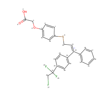 O=C(O)COc1ccc(SC/C=C(/c2ccccc2)c2ccc(C(F)(F)CF)cc2)cc1